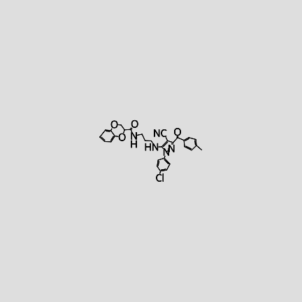 Cc1ccc(C(=O)c2nn(-c3ccc(Cl)cc3)c(NCCCNC(=O)C3COc4ccccc4O3)c2C#N)cc1